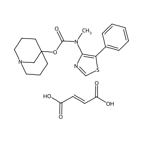 CN(C(=O)OC12CCCN(CCC1)C2)c1ncsc1-c1ccccc1.O=C(O)/C=C/C(=O)O